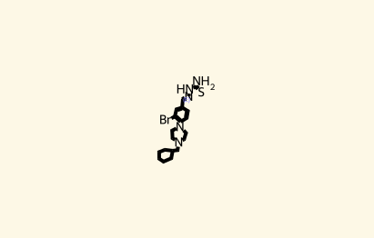 NC(=S)N/N=C/c1ccc(N2CCN(CC3CCCCC3)CC2)c(Br)c1